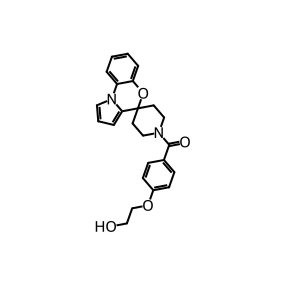 O=C(c1ccc(OCCO)cc1)N1CCC2(CC1)Oc1ccccc1-n1cccc12